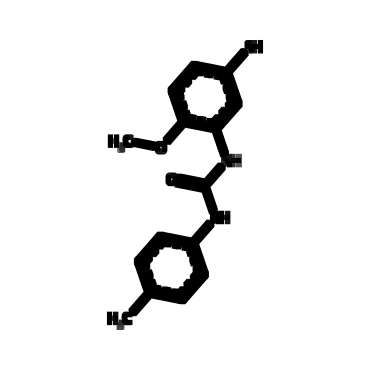 COc1ccc(S)cc1NC(=O)Nc1ccc(C)cc1